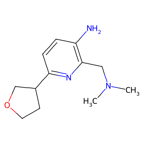 CN(C)Cc1nc(C2CCOC2)ccc1N